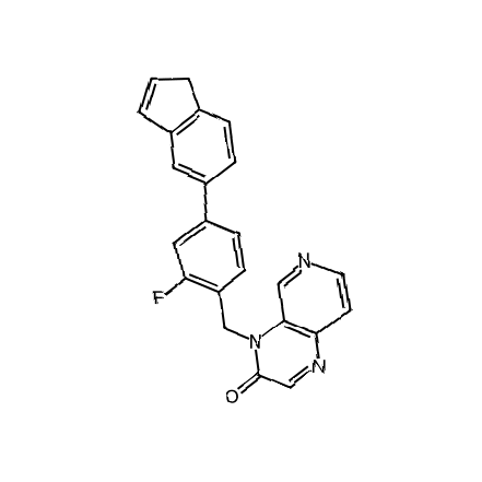 O=c1cnc2ccncc2n1Cc1ccc(-c2ccc3c(c2)C=CC3)cc1F